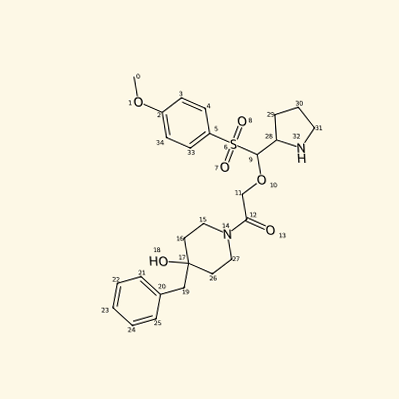 COc1ccc(S(=O)(=O)C(OCC(=O)N2CCC(O)(Cc3ccccc3)CC2)C2CCCN2)cc1